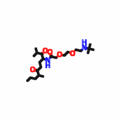 CCCC(C)C(=O)CCC(NC(=O)COCCOCCNC(C)(C)C)C(=O)C(C)C